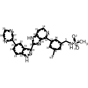 CS(=O)(=O)NCc1cc(F)cc(-c2nccc3[nH]c(-c4n[nH]c5ccc(-c6cnccn6)cc45)nc23)c1